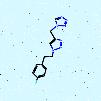 Fc1ccc(CCn2cc(Cn3cnnn3)nn2)cc1